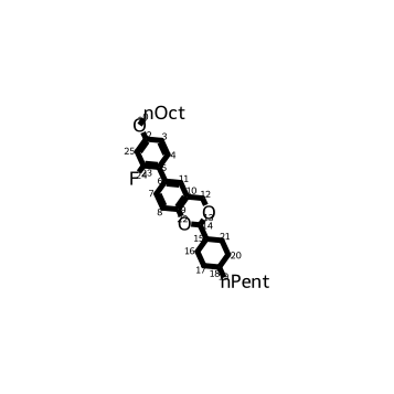 CCCCCCCCOc1ccc(-c2ccc3c(c2)COC(C2CCC(CCCCC)CC2)O3)c(F)c1